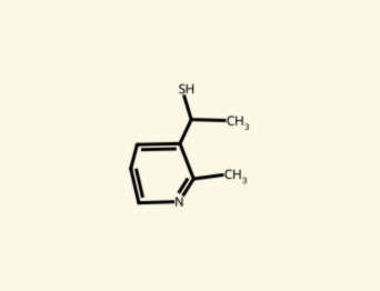 Cc1ncccc1C(C)S